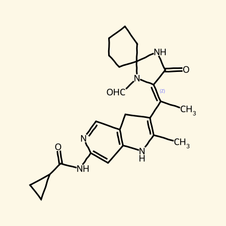 CC1=C(/C(C)=C2/C(=O)NC3(CCCCC3)N2C=O)Cc2cnc(NC(=O)C3CC3)cc2N1